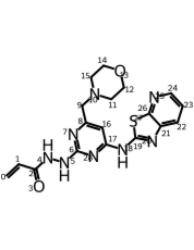 C=CC(=O)NNc1nc(CN2CCOCC2)cc(Nc2nc3cccnc3s2)n1